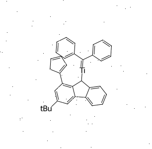 CC(C)(C)c1cc(C2=CC=CC2)c2c(c1)-c1ccccc1[CH]2[Ti]=[C](c1ccccc1)c1ccccc1